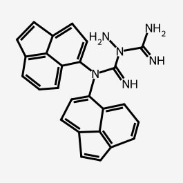 N=C(N)N(N)C(=N)N(c1ccc2c3c(cccc13)C=C2)c1ccc2c3c(cccc13)C=C2